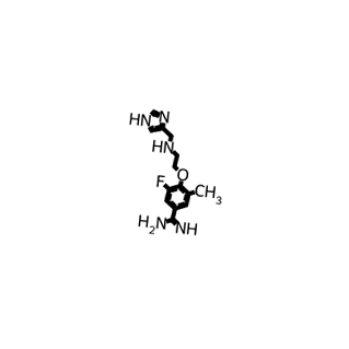 Cc1cc(C(=N)N)cc(F)c1OCCNCc1c[nH]cn1